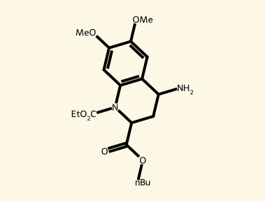 CCCCOC(=O)C1CC(N)c2cc(OC)c(OC)cc2N1C(=O)OCC